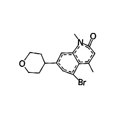 Cc1cc(=O)n(C)c2cc(C3CCOCC3)cc(Br)c12